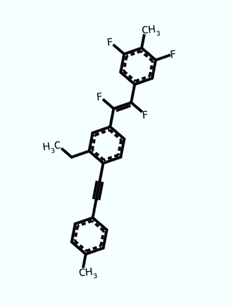 CCc1cc(/C(F)=C(\F)c2cc(F)c(C)c(F)c2)ccc1C#Cc1ccc(C)cc1